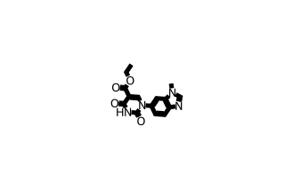 CCOC(=O)c1cn(-c2ccc3ncn(C)c3c2)c(=O)[nH]c1=O